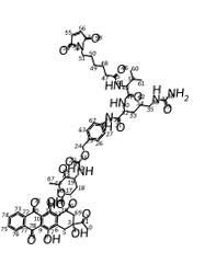 CC(=O)[C@]1(O)Cc2c(O)c3c(c(O)c2[C@@](O)(O[C@H]2C[C@H](NC(=O)OCc4ccc(NC(=O)[C@H](CCCNC(N)=O)NC(=O)[C@@H](NC(=O)CCCCCN5C(=O)C=CC5=O)C(C)C)cc4)[C@H](O)[C@H](C)O2)C1)C(=O)c1ccccc1C3=O